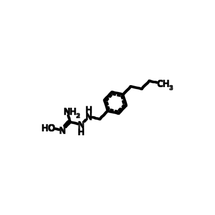 CCCCc1ccc(CNN/C(N)=N/O)cc1